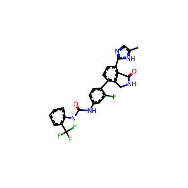 Cc1cnc(-c2ccc(-c3ccc(NC(=O)Nc4ccccc4C(F)(F)F)cc3F)c3c2C(=O)NC3)[nH]1